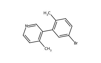 Cc1ccncc1-c1cc(Br)ccc1C